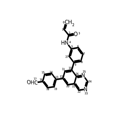 C=CC(=O)Nc1cccc(-c2cc(-c3ccc(C=O)cc3)cc3cncnc23)c1